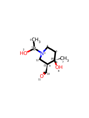 CB(O)N1CC[C@@](C)(O)[C@@H](C=O)C1